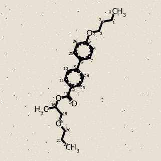 CCCCOc1ccc(-c2ccc(C(=O)OC(C)COCCC)cc2)cc1